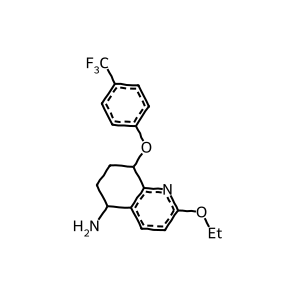 CCOc1ccc2c(n1)C(Oc1ccc(C(F)(F)F)cc1)CCC2N